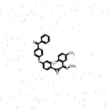 CC(=O)O/N=C(\c1cc(C)ccc1C)C1OC1c1ccc(Sc2ccc(C(=O)c3ccccc3)cc2)cc1